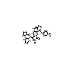 COc1ccc(COc2c(OC)ccc3c2C[C@@H](C(=O)O)N(C(=O)[C@@H](OC2CCCC2)c2ccccc2)C3)cc1